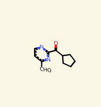 O=Cc1ccnc(C(=O)C2CCCC2)n1